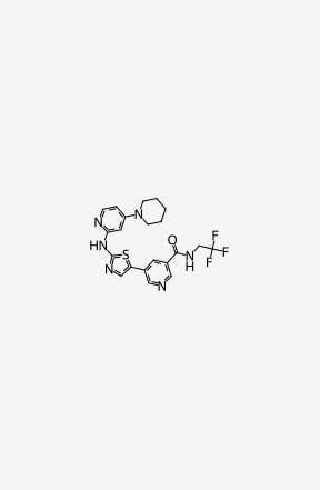 O=C(NCC(F)(F)F)c1cncc(-c2cnc(Nc3cc(N4CCCCC4)ccn3)s2)c1